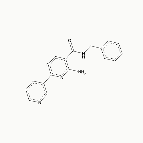 Nc1nc(-c2cccnc2)ncc1C(=O)NCc1ccccc1